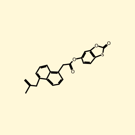 C=C(C)Cc1cccc2c(CC(=O)Oc3ccc4sc(=O)oc4c3)cccc12